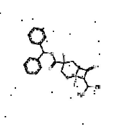 CC(O)C1C(=O)N2CC(Cl)(C(=O)OC(c3ccccc3)c3ccccc3)CS[C@H]12